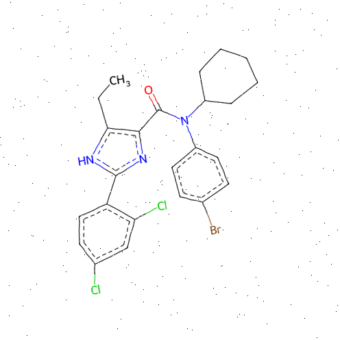 CCc1[nH]c(-c2ccc(Cl)cc2Cl)nc1C(=O)N(c1ccc(Br)cc1)C1CCCCC1